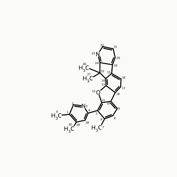 Cc1cnc(-c2c(C)ccc3c2oc2c4c(ccc23)-c2cccnc2C4(C)C)cc1C